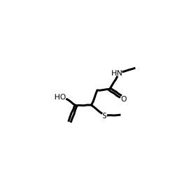 C=C(O)C(CC(=O)NC)SC